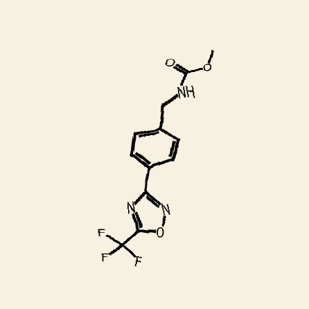 COC(=O)NCc1ccc(-c2noc(C(F)(F)F)n2)cc1